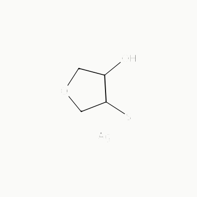 OC1COCC1[S-].[Ag+]